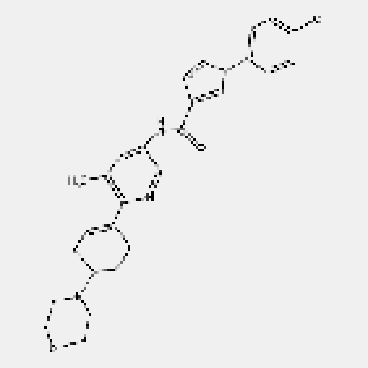 Cc1cc(NC(=O)c2ccn(-c3ccc(Cl)cc3)c2)cnc1C1=CCC(N2CCOCC2)CC1